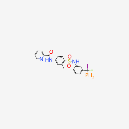 Cc1cc(NC(=O)c2ccccn2)ccc1S(=O)(=O)Nc1cccc(C(F)(P)I)c1